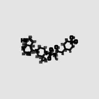 CN(C(=O)CC1CCS(=O)(=O)CC1)S(=O)(=O)N1CCN(c2ncnc3[nH]ccc23)CC12CC2